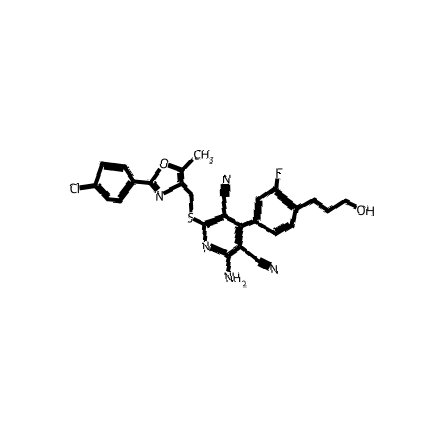 Cc1oc(-c2ccc(Cl)cc2)nc1CSc1nc(N)c(C#N)c(-c2ccc(CCCO)c(F)c2)c1C#N